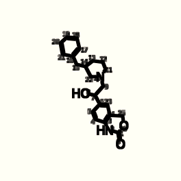 O=C1Nc2ccc(C(O)CN3CCCC(Cc4ccccc4)C3)cc2CO1